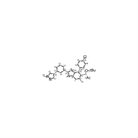 CC(=O)[C@@H](OC(C)(C)C)c1c(C)cc2nc(-c3cccc(-c4cnn(C)c4)c3)sc2c1-c1ccc(Cl)cc1